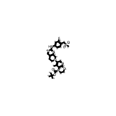 Cc1c(N2CCc3cnc(Nc4ccc(CS(C)(=O)=O)c(F)c4)nc3C2)cnc2c1N(C(=O)OC(C)(C)C)CCO2